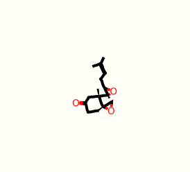 CC(C)=CCC1O[C@]1(C)[C@@]1(C)CC(=O)CC[C@]12CO2